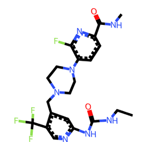 CCNC(=O)Nc1cc(CN2CCN(c3ccc(C(=O)NC)nc3F)CC2)c(C(F)(F)F)cn1